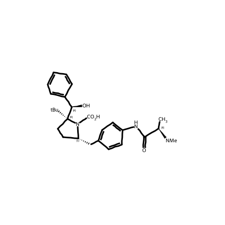 CN[C@H](C)C(=O)Nc1ccc(C[C@@H]2CC[C@]([C@H](O)c3ccccc3)(C(C)(C)C)N2C(=O)O)cc1